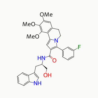 COc1cc2c(c(OC)c1OC)-c1cc(C(=O)N[C@@H](CO)Cc3c[nH]c4ccccc34)c(-c3cccc(F)c3)n1CC2